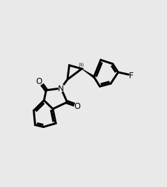 O=C1c2ccccc2C(=O)N1C1C[C@H]1c1ccc(F)cc1